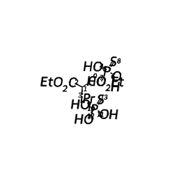 CCOC(=O)C(C(=O)OCC)C(C)C.OP(O)(O)=S.OP(O)(O)=S